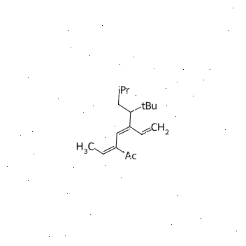 C=C/C(=C\C(=C/C)C(C)=O)C(CC(C)C)C(C)(C)C